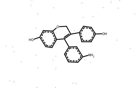 Nc1cccc(C2=C(c3ccc(O)cc3)COc3cc(O)ccc32)c1